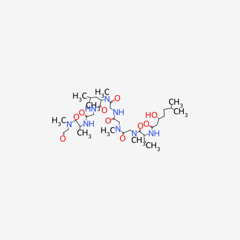 CCC(NC(=O)CC(O)CCC(C)C)C(=O)N(C)CC(=O)N(C)CC(=O)NCC(=O)N(C)C(CC(C)C)C(=O)NCC(=O)NC(C)C(=O)N(C)CC=O